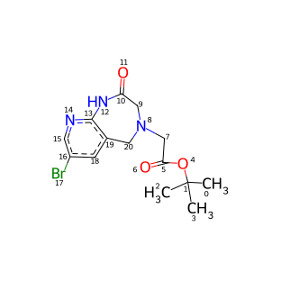 CC(C)(C)OC(=O)CN1CC(=O)Nc2ncc(Br)cc2C1